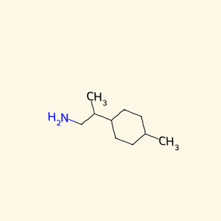 CC1CCC(C(C)CN)CC1